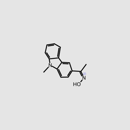 C/C(=N/O)c1ccc2c(c1)c1ccccc1n2C